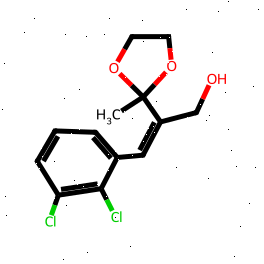 CC1(/C(=C\c2cccc(Cl)c2Cl)CO)OCCO1